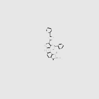 CC(C)n1c2cc(Nc3cc(N[C@H](CO)c4ccccc4)c(-c4nc(-c5ccccn5)no4)cn3)ccc2c(=O)n1C